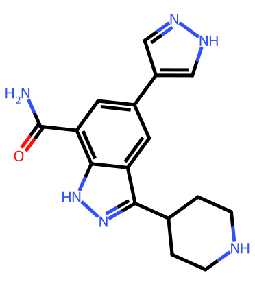 NC(=O)c1cc(-c2cn[nH]c2)cc2c(C3CCNCC3)n[nH]c12